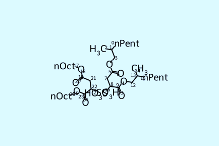 CCCCCC(C)COC(=O)CC(C(=O)OCC(C)CCCCC)S(=O)(=O)O.CCCCCCCCOC(=O)CC(C(=O)OCCCCCCCC)S(=O)(=O)O